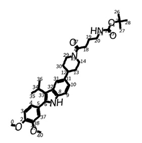 COc1ccc(-c2[nH]c3ccc(C4CCN(C(=O)CCCNC(=O)OC(C)(C)C)CC4)cc3c2C(C)C)cc1OC